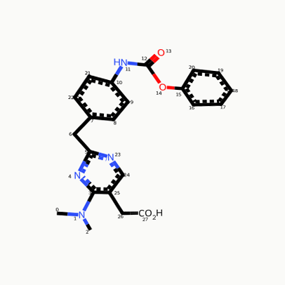 CN(C)c1nc(Cc2ccc(NC(=O)Oc3ccccc3)cc2)ncc1CC(=O)O